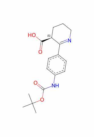 CC(C)(C)OC(=O)Nc1ccc(C2=NCCC[C@@H]2C(=O)O)cc1